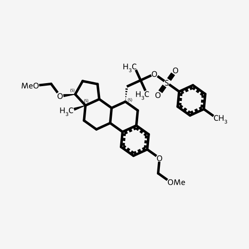 COCOc1ccc2c(c1)C[C@@H](CC(C)(C)OS(=O)(=O)c1ccc(C)cc1)C1C2CC[C@@]2(C)C1CC[C@@H]2OCOC